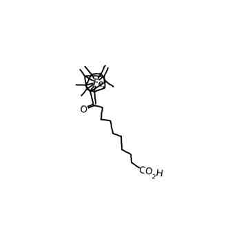 C[C]12[CH]3[C]4(C)[C]5(C)[C]1(C)[Fe]32451678[C]2(C)[C]1(C)[C]6(C)[C]7(C(=O)CCCCCCCCC(=O)O)[C]28C